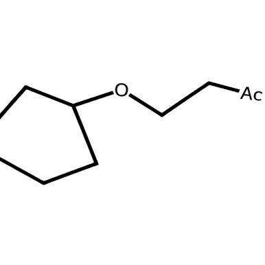 CC(=O)CCOC1CCCCC1